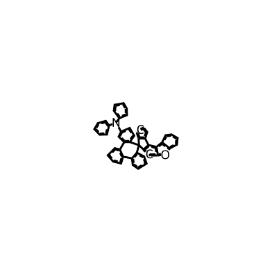 c1ccc(N(c2ccccc2)c2ccc3c(c2)-c2ccccc2-c2ccccc2C32c3ccccc3-c3c2ccc2oc4ccccc4c32)cc1